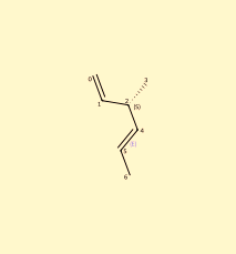 C=C[C@H](C)/C=C/C